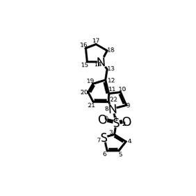 O=S(=O)(c1cccs1)n1ccc2c(CN3CCCC3)cccc21